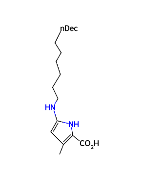 CCCCCCCCCCCCCCCCNc1cc(C)c(C(=O)O)[nH]1